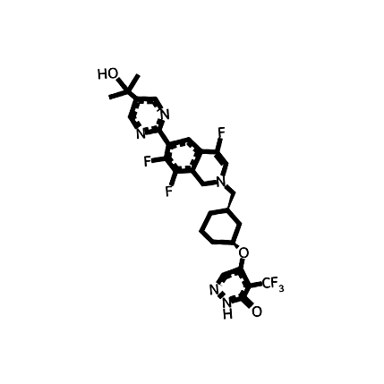 CC(C)(O)c1cnc(-c2cc3c(c(F)c2F)CN(C[C@@H]2CCC[C@H](Oc4cn[nH]c(=O)c4C(F)(F)F)C2)C=C3F)nc1